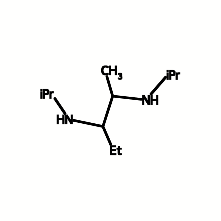 CCC(NC(C)C)C(C)NC(C)C